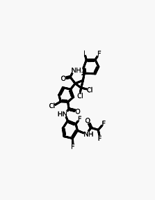 NC(=O)C1(c2ccc(Cl)c(C(=O)Nc3ccc(F)c(NC(=O)C(F)F)c3F)c2)C(c2ccc(F)c(I)c2)C1(Cl)Cl